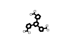 ClC(Cl)c1cccc(-c2cc(-c3cccc(C(Cl)Cl)c3)cc(-c3cccc(C(Cl)Cl)c3)c2)c1